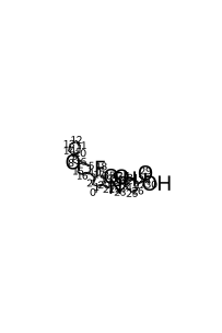 Cc1cc(-c2ccc(Oc3ccccc3)cc2)c(F)cc1CN(Cc1ccc(C(=O)O)cc1)[SH](=O)=O